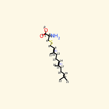 COC(=O)[C@@H](N)CSC/C=C(\C)CC/C=C(\C)CCC=C(C)C